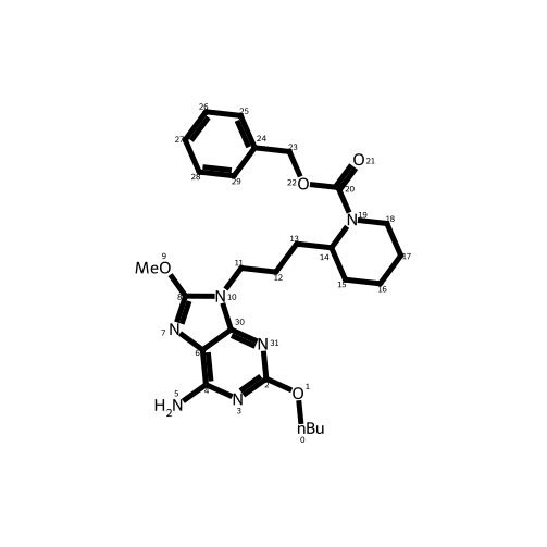 CCCCOc1nc(N)c2nc(OC)n(CCCC3CCCCN3C(=O)OCc3ccccc3)c2n1